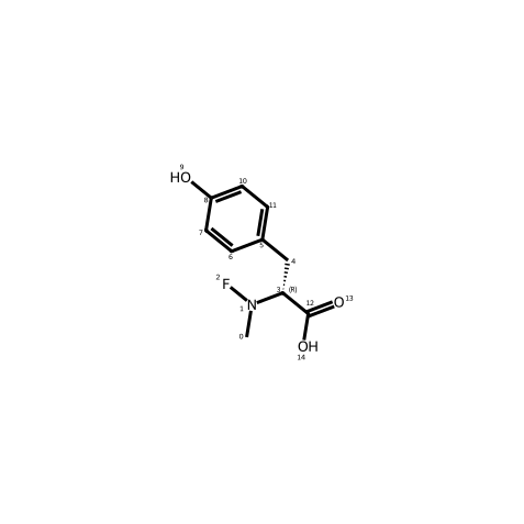 CN(F)[C@H](Cc1ccc(O)cc1)C(=O)O